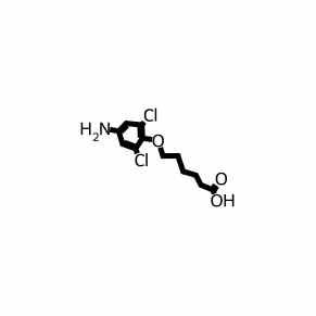 Nc1cc(Cl)c(OCCCCCC(=O)O)c(Cl)c1